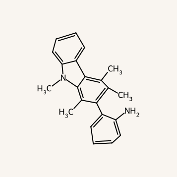 Cc1c(-c2ccccc2N)c(C)c2c(c1C)c1ccccc1n2C